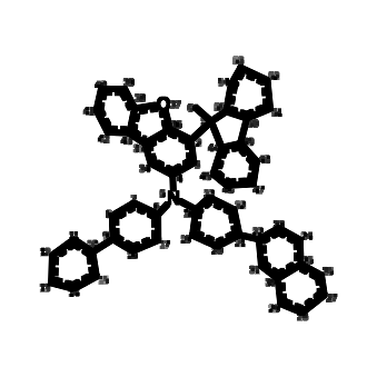 CC1(c2cc(N(c3ccc(-c4ccccc4)cc3)c3ccc(-c4ccc5ccccc5c4)cc3)cc3c2oc2ccccc23)c2ccccc2-c2ccccc21